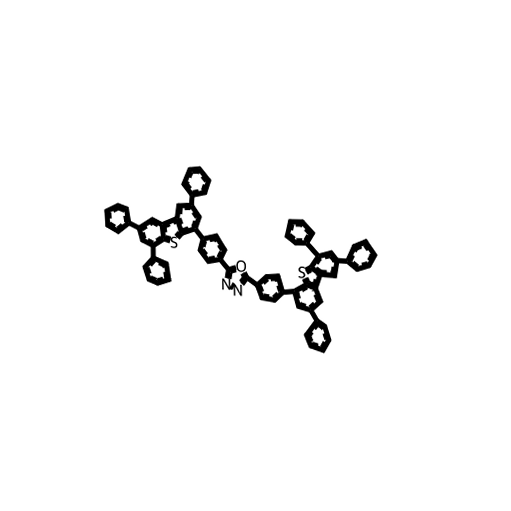 c1ccc(-c2cc(-c3ccccc3)c3sc4c(-c5ccc(-c6nnc(-c7ccc(-c8cc(-c9ccccc9)cc9c8sc8c(-c%10ccccc%10)cc(-c%10ccccc%10)cc89)cc7)o6)cc5)cc(-c5ccccc5)cc4c3c2)cc1